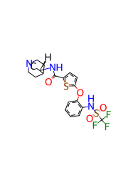 O=C(N[C@H]1CN2CCC1CC2)c1ccc(Oc2ccccc2NS(=O)(=O)C(F)(F)F)s1